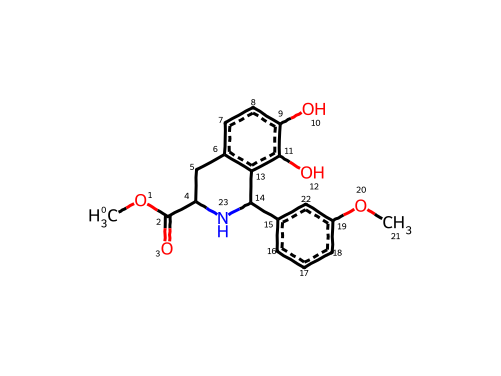 COC(=O)C1Cc2ccc(O)c(O)c2C(c2cccc(OC)c2)N1